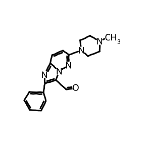 CN1CCN(c2ccc3nc(-c4ccccc4)c(C=O)n3n2)CC1